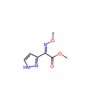 CON=C(C(=O)OC)c1cc[nH]n1